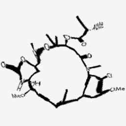 CN[C@@H](C)C(=O)O[C@H]1CC(=O)N(C)c2cc(cc(OC)c2Cl)C/C(C)=C/C=C/[C@@H](OC)[C@@]2(O)C[C@H](OC(=O)N2)[C@@H](C)OC1(C)C